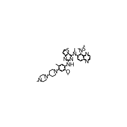 COc1cc(N2CCC(N3CCN(C)CC3)CC2)c(C)cc1Nc1nc(N(I)c2ccc3nccnc3c2N(C)SC)c2sccc2n1